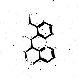 C[C@H](c1ccccc1CI)C(CN)c1ncccc1I